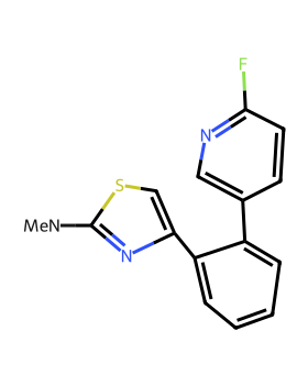 CNc1nc(-c2ccccc2-c2ccc(F)nc2)cs1